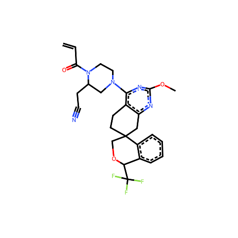 C=CC(=O)N1CCN(c2nc(OC)nc3c2CCC2(COC(C(F)(F)F)c4ccccc42)C3)CC1CC#N